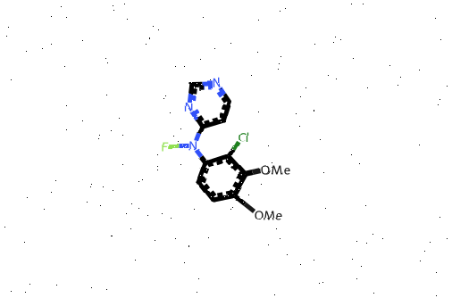 COc1ccc(N(F)c2ccncn2)c(Cl)c1OC